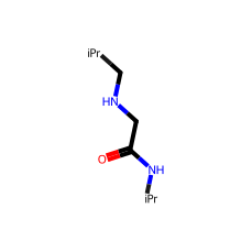 CC(C)CNCC(=O)NC(C)C